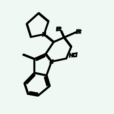 CCC1(CC)CCn2c(c(C)c3ccccc32)C1N1CCCC1.Cl